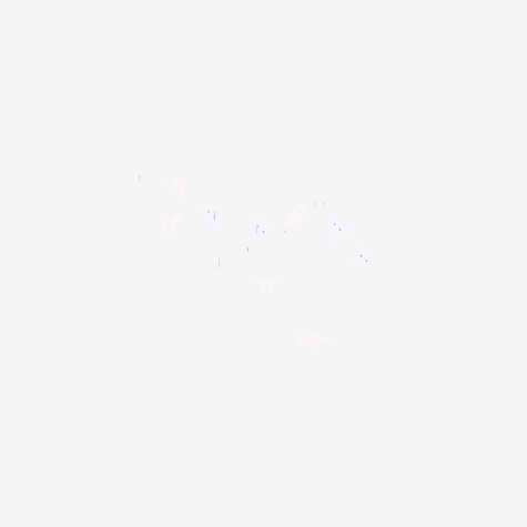 Cn1cnc2c(-c3c(O)cccc3Cl)c(Cl)c3c(c21)C(=O)N1CCN(C(=O)OC(C)(C)C)C[C@@H]1CO3